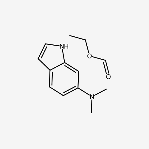 CCOC=O.CN(C)c1ccc2cc[nH]c2c1